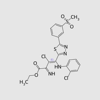 CCOC(=O)C(=N)/C(Cl)=C(\Nc1ccccc1Cl)c1nnc(-c2cccc(S(C)(=O)=O)c2)s1